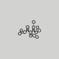 c1ccc(-c2ccc(N(c3cccc4oc5ccccc5c34)c3cc(N(c4ccccc4)c4ccc5c(c4)oc4ccccc45)cc4oc5cc6ccccc6cc5c34)cc2)cc1